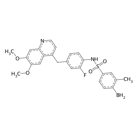 Bc1ccc(S(=O)(=O)Nc2ccc(Cc3ccnc4cc(OC)c(OC)cc34)cc2F)cc1C